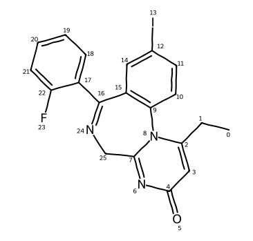 CCc1cc(=O)nc2n1-c1ccc(I)cc1C(c1ccccc1F)=NC2